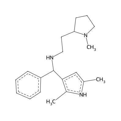 Cc1cc(C(NCCC2CCCN2C)c2ccccc2)c(C)[nH]1